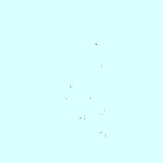 CCC(C)(C)C(=O)OC1CC2OC(=O)OC2C(C)O1